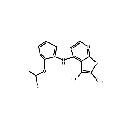 Cc1sc2ncnc(Nc3ccccc3OC(F)F)c2c1C